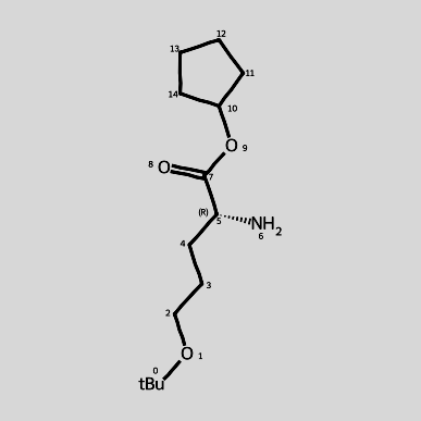 CC(C)(C)OCCC[C@@H](N)C(=O)OC1CCCC1